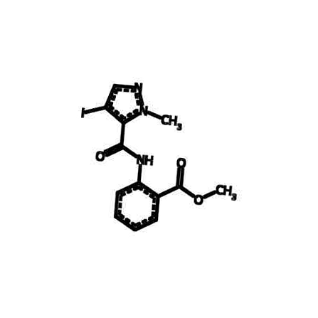 COC(=O)c1ccccc1NC(=O)c1c(I)cnn1C